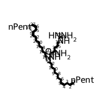 CCCCC/C=C\C/C=C\CCCCCCCCN(CCCCCCCC/C=C\C/C=C\CCCCC)NC(=O)C(N)CCCNC(=N)N